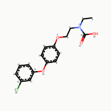 CCN(CCOc1ccc(Oc2cccc(Cl)c2)cc1)C(=O)O